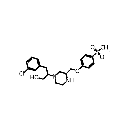 CS(=O)(=O)c1ccc(OC[C@@H]2CN(C(CO)Cc3cccc(Cl)c3)CCN2)cc1